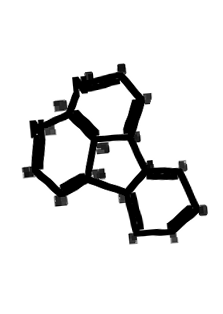 c1ccc2c(c1)-c1ccnc3nccc-2c13